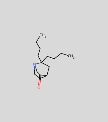 CCCCC1(CCCC)CC2CCN1CC2=O